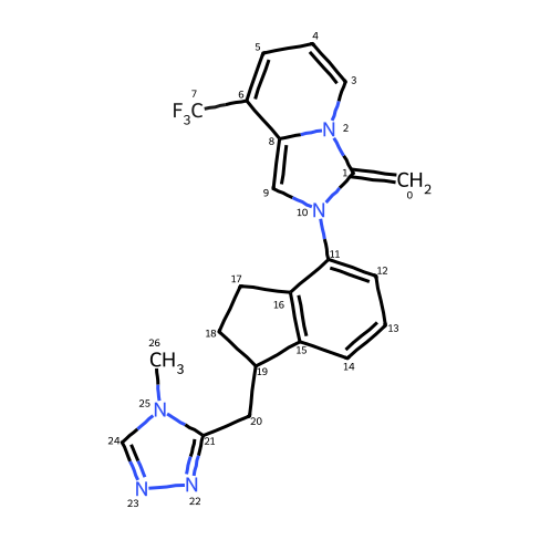 C=C1N2C=CC=C(C(F)(F)F)C2=CN1c1cccc2c1CCC2Cc1nncn1C